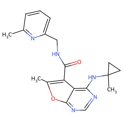 Cc1cccc(CNC(=O)c2c(C)oc3ncnc(NC4(C)CC4)c23)n1